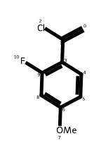 C=C(Cl)c1ccc(OC)cc1F